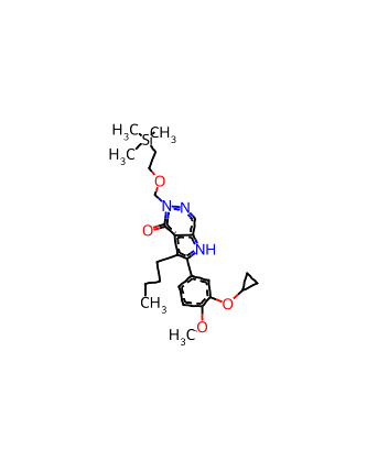 CCCCc1c(-c2ccc(OC)c(OC3CC3)c2)[nH]c2cnn(COCC[Si](C)(C)C)c(=O)c12